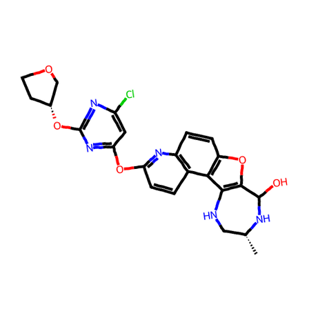 C[C@@H]1CNc2c(oc3ccc4nc(Oc5cc(Cl)nc(O[C@@H]6CCOC6)n5)ccc4c23)C(O)N1